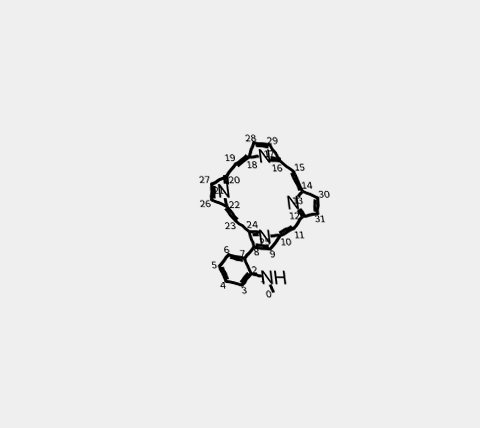 CNc1ccccc1C1=CC2=CC3=NC(=CC4=NC(=CC5=NC(=CC1=N2)C=C5)C=C4)C=C3